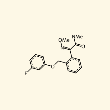 CNC(=O)C(=NOC)c1ccccc1COc1cccc(F)c1